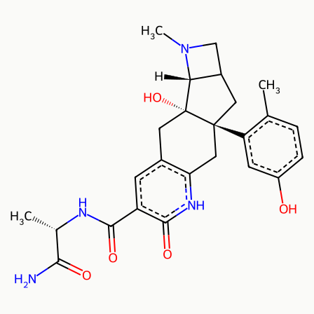 Cc1ccc(O)cc1[C@@]12Cc3[nH]c(=O)c(C(=O)N[C@@H](C)C(N)=O)cc3C[C@@]1(O)[C@H]1C(CN1C)C2